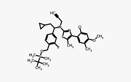 C#CCN(c1nc(-c2cc(C)c(OC)cc2Cl)c(C)s1)C(CC1CC1)c1ccc(CO[Si](C)(C)C(C)(C)C)c(F)c1